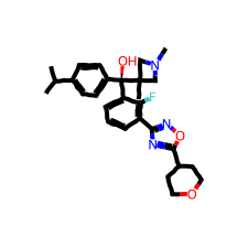 CC(C)c1ccc([C@@](O)(c2cccc(-c3noc(C4CCOCC4)n3)c2F)C2(C)CN(C)C2)cc1